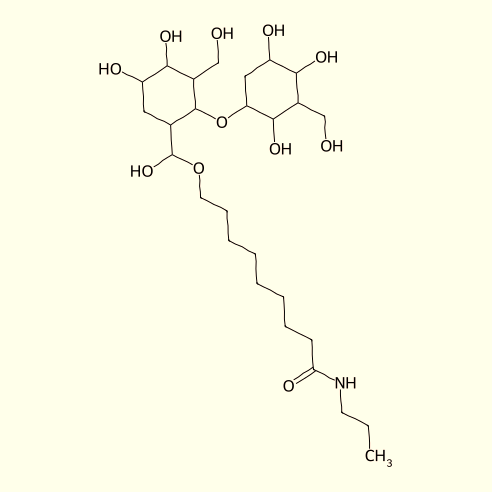 CCCNC(=O)CCCCCCCCOC(O)C1CC(O)C(O)C(CO)C1OC1CC(O)C(O)C(CO)C1O